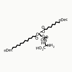 CCCCCCCCCCCCCCCCCCCCCC(=O)O[C@H](COC(=O)CCCCCCCCCCCCCCCCC)COP(=O)(O)OC[C@H](N)C(=O)O